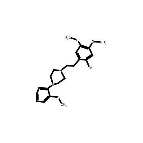 COc1cc(Br)c(CCN2CCN(c3ccccc3OC)CC2)cc1OC